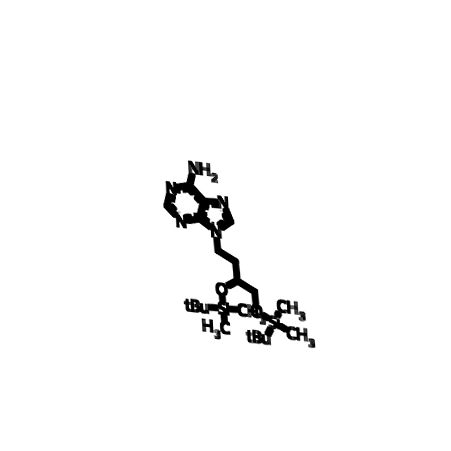 CC(C)(C)[Si](C)(C)OCC(CCn1cnc2c(N)ncnc21)O[Si](C)(C)C(C)(C)C